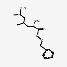 CN[C@@H](CC(C)CC(C)C=O)C(=O)OOCc1ccccc1